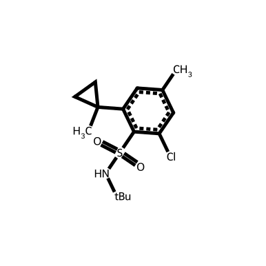 Cc1cc(Cl)c(S(=O)(=O)NC(C)(C)C)c(C2(C)CC2)c1